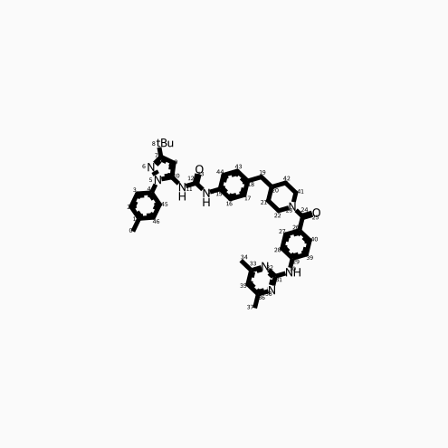 Cc1ccc(-n2nc(C(C)(C)C)cc2NC(=O)Nc2ccc(CC3CCN(C(=O)c4ccc(Nc5nc(C)cc(C)n5)cc4)CC3)cc2)cc1